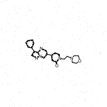 O=c1cc(-c2cnc3c(-c4ccccc4)cnn3c2)ccn1CCN1CCOCC1